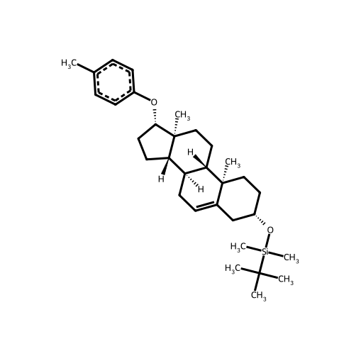 Cc1ccc(O[C@H]2CC[C@H]3[C@@H]4CC=C5C[C@@H](O[Si](C)(C)C(C)(C)C)CC[C@]5(C)[C@H]4CC[C@]23C)cc1